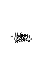 [C-]#[N+]C1=C(C)NC(C)=C(C(=O)OCC2CCC2)C1c1cccc2c(=O)cc(C)oc12